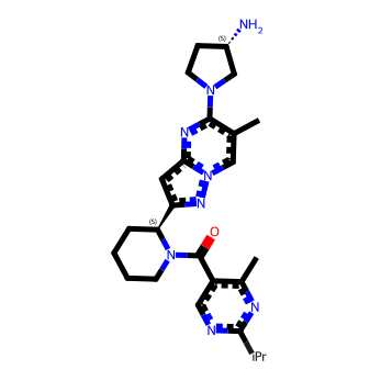 Cc1cn2nc([C@@H]3CCCCN3C(=O)c3cnc(C(C)C)nc3C)cc2nc1N1CC[C@H](N)C1